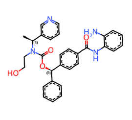 C[C@@H](c1cccnc1)N(CCO)C(=O)O[C@H](c1ccccc1)c1ccc(C(=O)Nc2ccccc2N)cc1